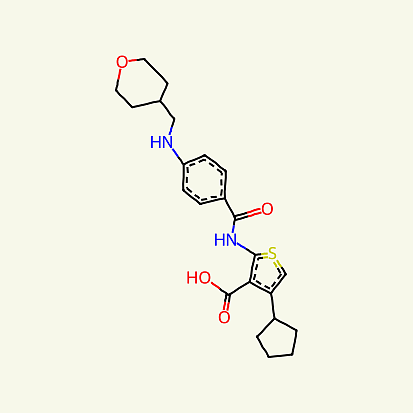 O=C(Nc1scc(C2CCCC2)c1C(=O)O)c1ccc(NCC2CCOCC2)cc1